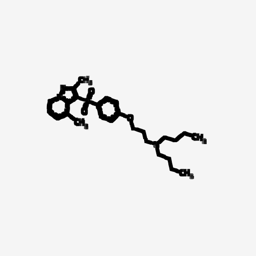 CCCCN(CCCC)CCCOc1ccc(S(=O)(=O)c2c(C)nn3cccc(C)c23)cc1